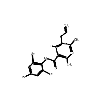 C=CCc1c(C)nc(C)c(C(=O)Nc2c(CC)cc(Br)cc2CC)c1F